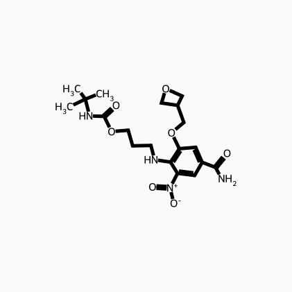 CC(C)(C)NC(=O)OCCCNc1c(OCC2COC2)cc(C(N)=O)cc1[N+](=O)[O-]